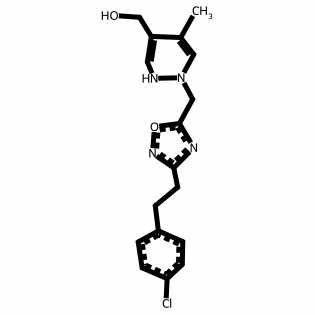 CC1=CN(Cc2nc(CCc3ccc(Cl)cc3)no2)NC=C1CO